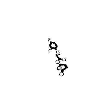 O=C1C=CC(OC(=O)COc2ccc(F)cc2F)O1